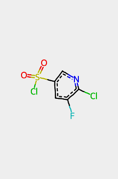 O=S(=O)(Cl)c1cnc(Cl)c(F)c1